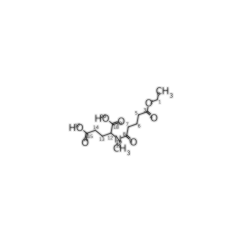 CCOC(=O)CCCC(=O)N(C)C(CCC(=O)O)C(=O)O